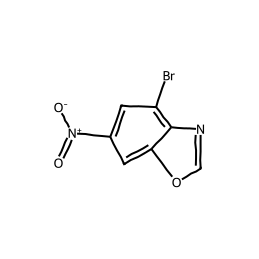 O=[N+]([O-])c1cc(Br)c2ncoc2c1